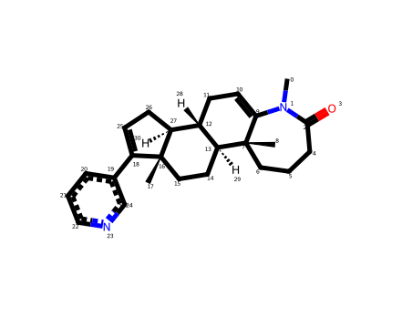 CN1C(=O)CCC[C@@]2(C)C1=CC[C@@H]1[C@@H]2CC[C@]2(C)C(c3cccnc3)=CC[C@@H]12